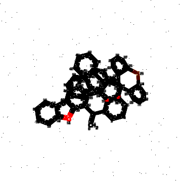 C=C(c1cccc2c1-c1c(ccc3ccccc13)C21c2ccccc2Sc2ccccc21)c1c(-c2ccccc2-c2ccccc2C)ccc2c1oc1ccccc12